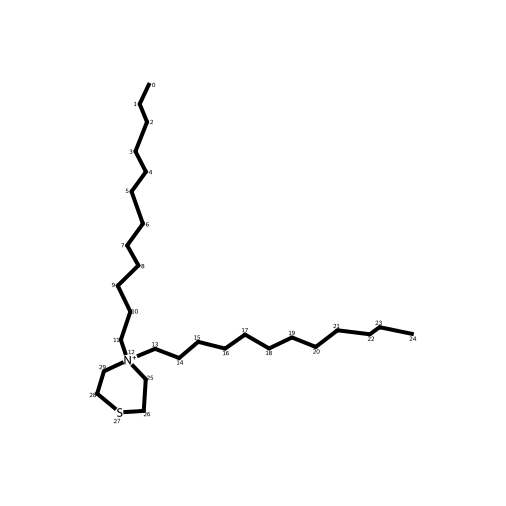 CCCCCCCCCCCC[N+]1(CCCCCCCCCCCC)CCSCC1